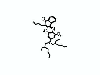 CCCCC1=CC(=Nc2c(OC)cc(N(CC(CC)CCCC)CC(CC)CCCC)cc2OC)c2ccccc2C1=O